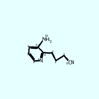 N#CCCCc1ncccc1N